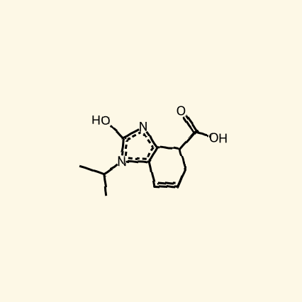 CC(C)n1c(O)nc2c1C=CCC2C(=O)O